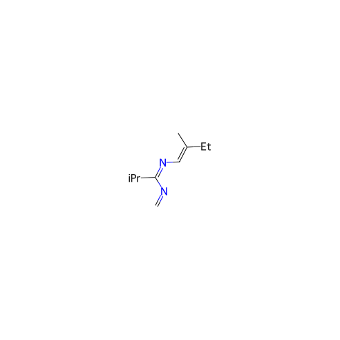 C=N/C(=N\C=C(/C)CC)C(C)C